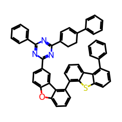 C1=C(c2ccccc2)CCC(c2nc(-c3ccccc3)nc(-c3ccc4oc5cccc(-c6cccc7c6sc6cccc(-c8ccccc8)c67)c5c4c3)n2)=C1